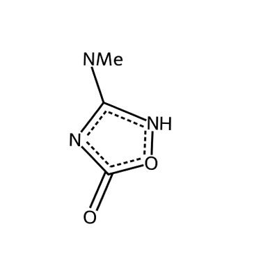 CNc1nc(=O)o[nH]1